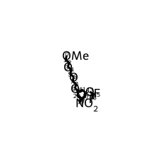 COCCOCCOCCOc1cc(OC(F)F)cc([N+](=O)[O-])c1